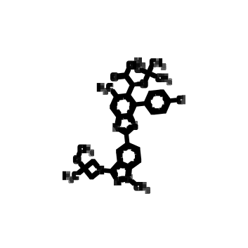 COC1(C)CN(c2nn(C)c3ccc(-c4nc5cc(C)c([C@H](OC(C)(C)C)C(=O)O)c(-c6ccc(Cl)cc6)c5s4)cc23)C1